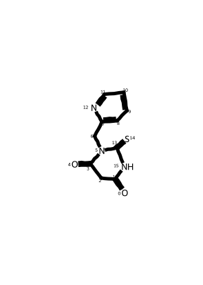 O=C1CC(=O)N(Cc2ccccn2)C(=S)N1